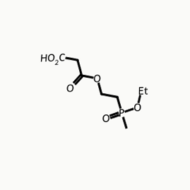 CCOP(C)(=O)CCOC(=O)CC(=O)O